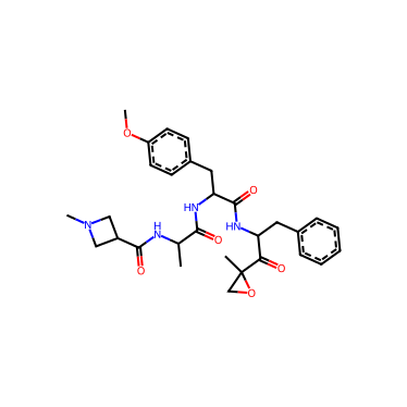 COc1ccc(CC(NC(=O)C(C)NC(=O)C2CN(C)C2)C(=O)NC(Cc2ccccc2)C(=O)C2(C)CO2)cc1